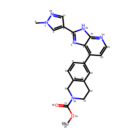 Cn1cc(-c2nc3c(-c4ccc5c(c4)CCN(C(=O)OC(C)(C)C)C5)ccnc3[nH]2)cn1